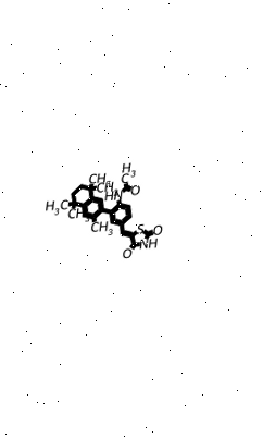 CC(=O)Nc1ccc(/C=C2\SC(=O)NC2=O)cc1-c1cc2c(cc1C)C(C)(C)CCC2(C)C